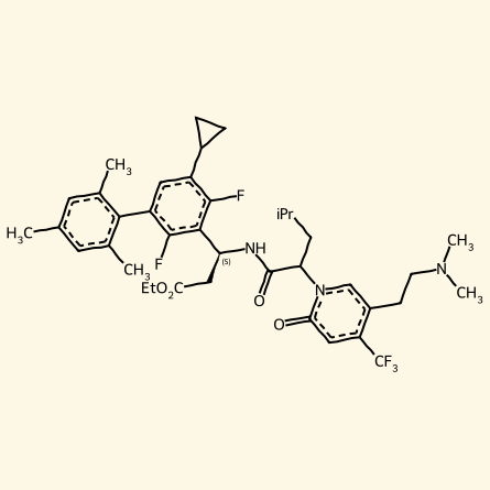 CCOC(=O)C[C@H](NC(=O)C(CC(C)C)n1cc(CCN(C)C)c(C(F)(F)F)cc1=O)c1c(F)c(-c2c(C)cc(C)cc2C)cc(C2CC2)c1F